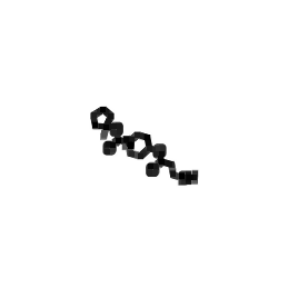 CC1(OC(=O)N2CCC(OC(=O)CCS)CC2)CCCC1